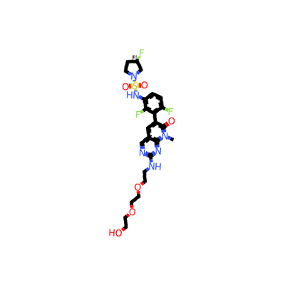 Cn1c(=O)c(-c2c(F)ccc(NS(=O)(=O)N3CC[C@@H](F)C3)c2F)cc2cnc(NCCOCCOCCO)nc21